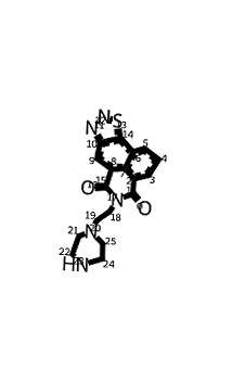 O=C1c2cccc3c2c(cc2nnsc23)C(=O)N1CCN1CCNCC1